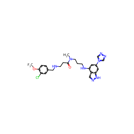 CN(CCCNc1cc(-n2cnnc2)cc2[nH]ncc12)C(=O)CCNCc1ccc(OC(F)(F)F)c(Cl)c1